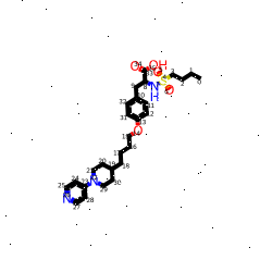 CCCCS(=O)(=O)NC(Cc1ccc(OCCCCC2CCN(c3ccncc3)CC2)cc1)C(=O)O